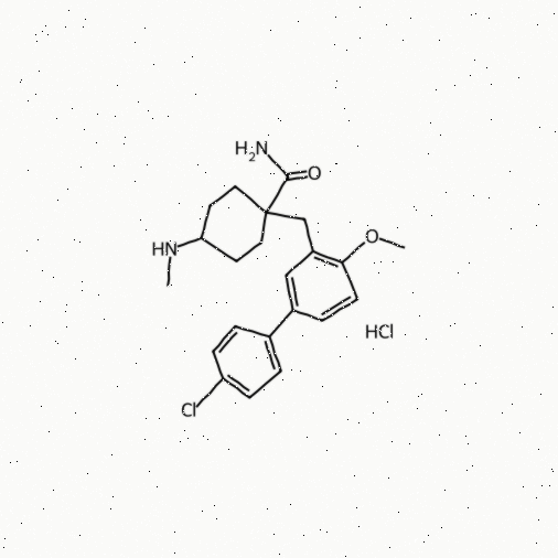 CNC1CCC(Cc2cc(-c3ccc(Cl)cc3)ccc2OC)(C(N)=O)CC1.Cl